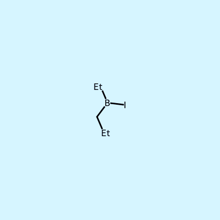 CCCB(I)CC